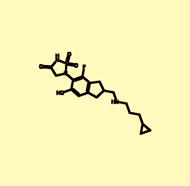 O=C1CN(c2c(O)cc3c(c2F)CC(CNCCCC2CC2)C3)S(=O)(=O)N1